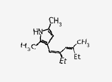 CC/C(C)=C\C(=C/c1cc(C)[nH]c1C)CC